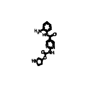 Nc1ccccc1NC(=O)c1cnc(NC(=O)OC2CCNC2)nc1